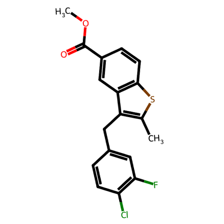 COC(=O)c1ccc2sc(C)c(Cc3ccc(Cl)c(F)c3)c2c1